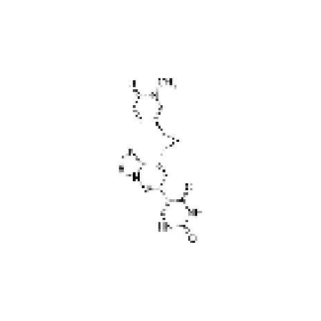 Cn1cc([C@H]2C[C@@H]2c2cc(-c3c[nH]c(=O)[nH]c3=O)nn3ccnc23)ccc1=O